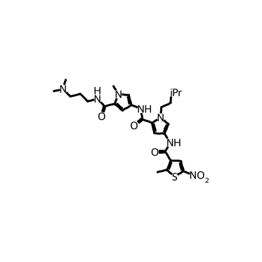 Cc1sc([N+](=O)[O-])cc1C(=O)Nc1cc(C(=O)Nc2cc(C(=O)NCCCN(C)C)n(C)c2)n(CCC(C)C)c1